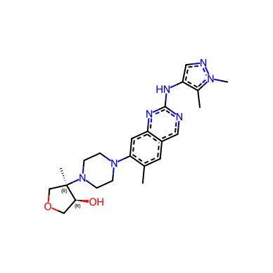 Cc1cc2cnc(Nc3cnn(C)c3C)nc2cc1N1CCN([C@]2(C)COC[C@@H]2O)CC1